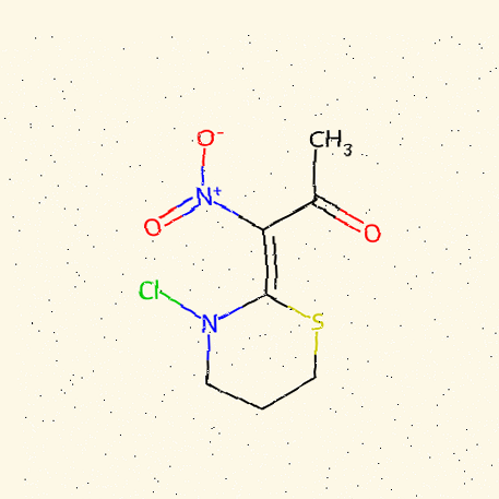 CC(=O)C(=C1SCCCN1Cl)[N+](=O)[O-]